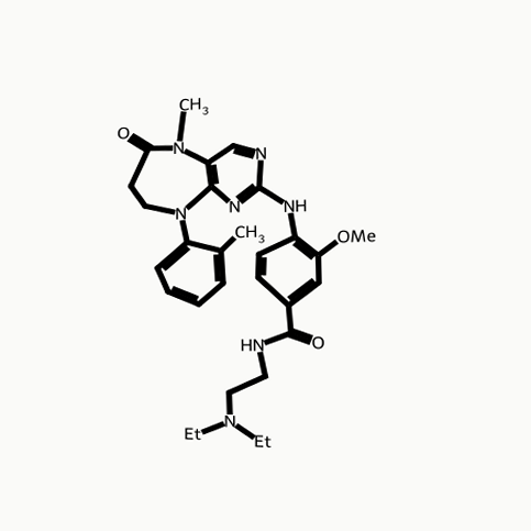 CCN(CC)CCNC(=O)c1ccc(Nc2ncc3c(n2)N(c2ccccc2C)CCC(=O)N3C)c(OC)c1